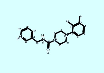 Cc1cccc(N2CCN(C(=O)NCc3cccnc3)CC2)c1C